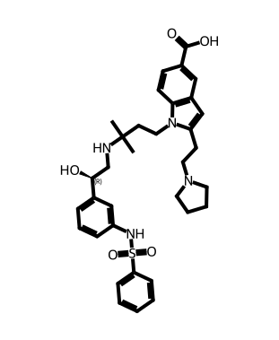 CC(C)(CCn1c(CCN2CCCC2)cc2cc(C(=O)O)ccc21)NC[C@H](O)c1cccc(NS(=O)(=O)c2ccccc2)c1